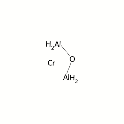 [AlH2][O][AlH2].[Cr]